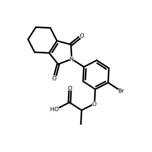 CC(Oc1cc(N2C(=O)C3=C(CCCC3)C2=O)ccc1Br)C(=O)O